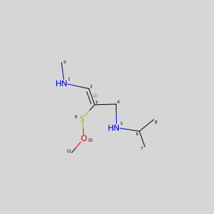 CN/C=C(/CNC(C)C)SOC